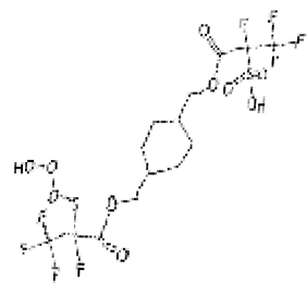 O=C(OCC1CCC(COC(=O)C(F)(C(F)(F)F)S(=O)(=O)O)CC1)C(F)(SOOO)C(F)(F)F